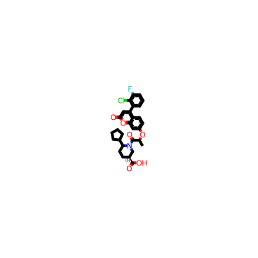 CC(Oc1ccc2c(-c3cccc(F)c3Cl)cc(=O)oc2c1)C(=O)N1C[C@@H](C(=O)O)CCC1C1CCCC1